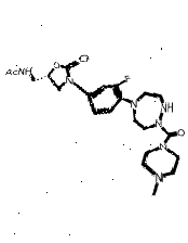 CC(=O)NC[C@H]1CN(c2ccc(N3CCNN(C(=O)N4CCN(C)CC4)CC3)c(F)c2)C(=O)O1